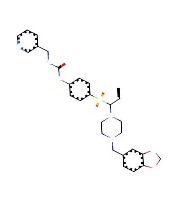 C=CC(N1CCN(Cc2ccc3c(c2)OCO3)CC1)S(=O)(=O)c1ccc(NC(=O)NCc2cccnc2)cc1